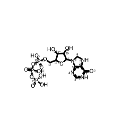 O=c1[nH]cnc2c1NCN2C1OC(COP(=O)(O)OP(=O)(O)OP(=O)(O)O)C(O)C1O